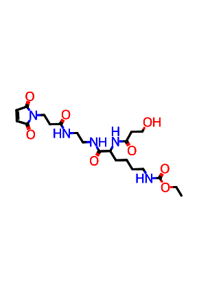 CCOC(=O)NCCCCC(NC(=O)CCO)C(=O)NCCNC(=O)CCN1C(=O)C=CC1=O